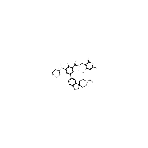 CCN(c1cc(-c2ccc3c(c2)C2(CC3)CCN(CC(F)(F)F)CC2)cc(C(=O)NCc2c(OC)cc(C)[nH]c2=O)c1C)C1CCOCC1